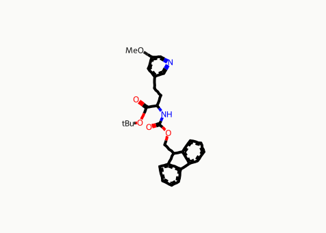 COc1cncc(CCC(NC(=O)OCC2c3ccccc3-c3ccccc32)C(=O)OC(C)(C)C)c1